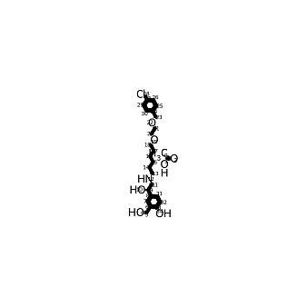 CC(=O)O.OCc1cc([C@@H](O)CNCCCCCCOCCOCc2ccc(Cl)cc2)ccc1O